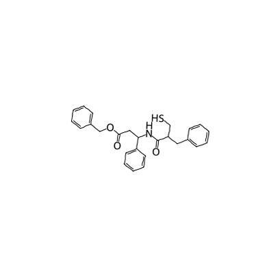 O=C(CC(NC(=O)C(CS)Cc1ccccc1)c1ccccc1)OCc1ccccc1